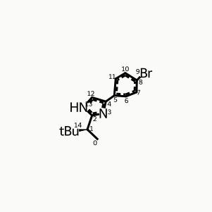 C[C@H](c1nc(-c2ccc(Br)cc2)c[nH]1)C(C)(C)C